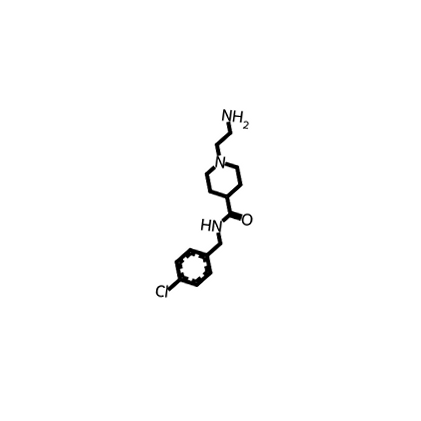 NCCN1CCC(C(=O)NCc2ccc(Cl)cc2)CC1